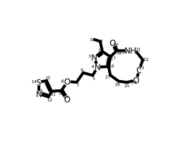 CCc1nn(CCCOC(=O)c2cnsc2)c2c1C(=O)NCCCOCCC2